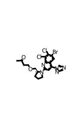 CC(=O)CCOC[C@@H]1CCCN1c1cc(-n2cncn2)c2cc(Br)c(Cl)c(Cl)c2n1